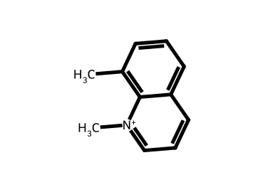 Cc1cccc2ccc[n+](C)c12